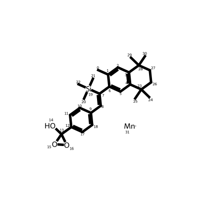 Cc1cc2c(cc1/C(=C/c1ccc(C3(O)OO3)cc1)[Si](C)(C)C)C(C)(C)CCC2(C)C.[Mn]